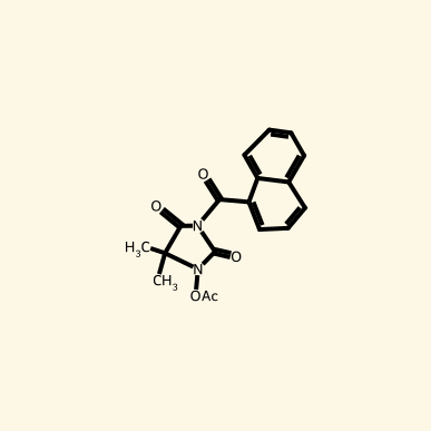 CC(=O)ON1C(=O)N(C(=O)c2cccc3ccccc23)C(=O)C1(C)C